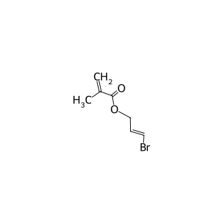 C=C(C)C(=O)OCC=CBr